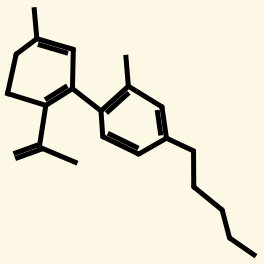 C=C(C)C1=C(c2ccc(CCCCC)cc2C)C=C(C)CC1